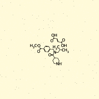 COC(=O)c1ccc(CN(CC(C)C)C(=O)C2CCNCC2)cc1.O=C(O)/C=C/C(=O)O